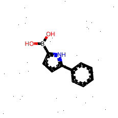 OB(O)c1ccc(-c2ccccc2)[nH]1